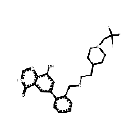 O=c1[nH]cnc2c(O)cc(-c3ccccc3COCCC3CCN(CC(F)(F)F)CC3)cc12